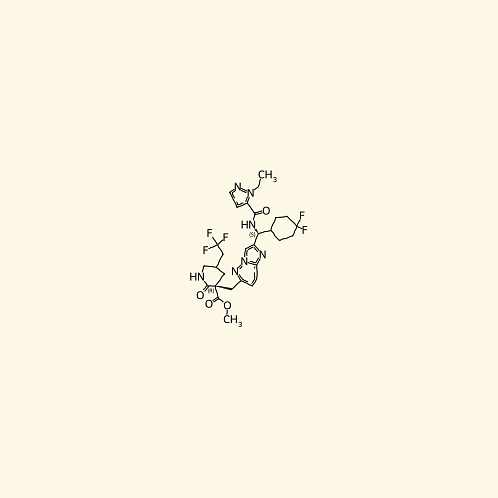 CCn1nccc1C(=O)N[C@H](c1cn2nc(C[C@]3(C(=O)OC)CC(CC(F)(F)F)CNC3=O)ccc2n1)C1CCC(F)(F)CC1